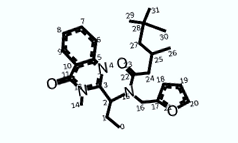 CCC(c1nc2ccccc2c(=O)n1C)N(Cc1ccco1)C(=O)CC(C)CC(C)(C)C